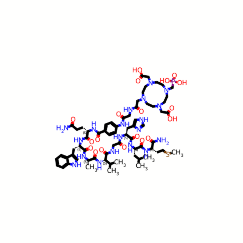 CSCC[C@H](NC(=O)[C@H](CC(C)C)NC(=O)[C@H](Cc1c[nH]cn1)NC(=O)CNC(=O)[C@@H](NC(=O)[C@H](C)NC(=O)[C@H](Cc1c[nH]c2ccccc12)NC(=O)[C@H](CCC(N)=O)NC(=O)c1ccc(NC(=O)CNC(=O)CN2CCN(CC(=O)O)CCN(CP(=O)(O)O)CCN(CC(=O)O)CC2)cc1)C(C)C)C(N)=O